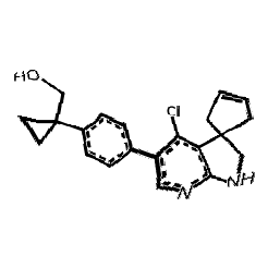 OCC1(c2ccc(-c3cnc4c(c3Cl)C3(CC=CC3)CN4)cc2)CC1